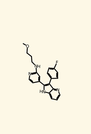 COCCCNc1cc(-c2[nH]c3cccnc3c2-c2ccc(F)cc2)ccn1